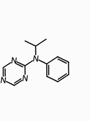 CC(C)N(c1ccccc1)c1ncncn1